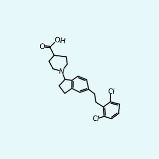 O=C(O)C1CCN(C2CCc3cc(CCc4c(Cl)cccc4Cl)ccc32)CC1